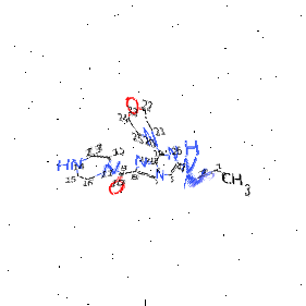 C/C=N/Nc1cn2cc(C(=O)N3CCNCC3)nc2c(N2CCOCC2)n1